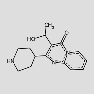 CC(O)c1c(C2CCNCC2)nc2ccccn2c1=O